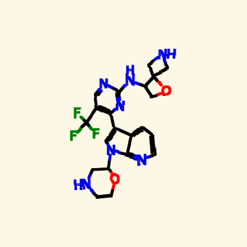 FC(F)(F)c1cnc(NC2COC23CNC3)nc1-c1cn(C2CNCCO2)c2ncccc12